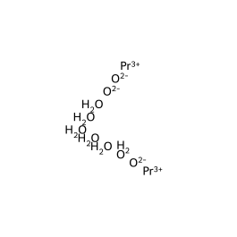 O.O.O.O.O.O.[O-2].[O-2].[O-2].[Pr+3].[Pr+3]